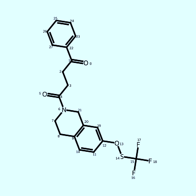 O=C(CCC(=O)N1CCc2ccc(OSC(F)(F)F)cc2C1)c1ccccc1